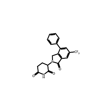 O=C1CCC(N2Cc3c(cc(C(F)(F)F)cc3-c3ccccc3)C2=O)C(=O)N1